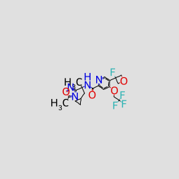 Cc1nc([C@@](C)(CC2CC2)NC(=O)c2cc(OCC(F)(F)F)c(C3(F)COC3)cn2)no1